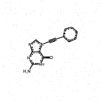 Nc1nc2ncn(C#Cc3ccccc3)c2c(=O)[nH]1